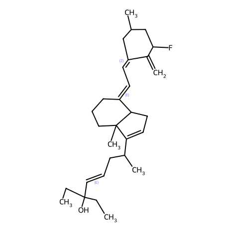 C=C1/C(=C\C=C2/CCCC3(C)C(C(C)C/C=C/C(O)(CC)CC)=CCC23)CC(C)CC1F